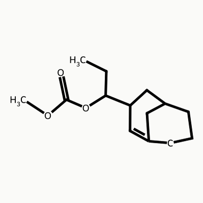 CCC(OC(=O)OC)C1C=C2CCCC(C2)C1